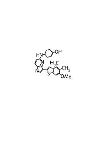 COc1cc2sc(-c3cnc4ccc(NC5CCC(O)CC5)nn34)cc2c(C)c1C